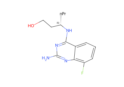 CCC[C@@H](CCO)Nc1nc(N)nc2c(F)cccc12